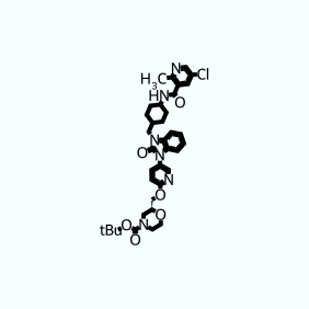 Cc1ncc(Cl)cc1C(=O)NC1CCC(Cn2c(=O)n(-c3ccc(OC[C@H]4CN(C(=O)OC(C)(C)C)CCO4)nc3)c3ccccc32)CC1